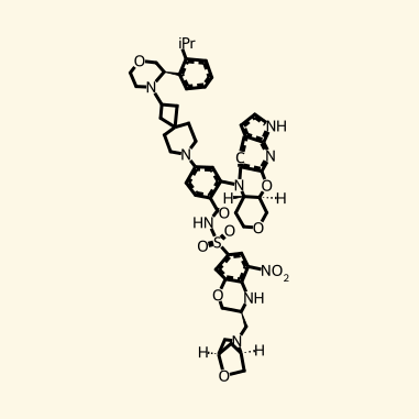 CC(C)c1ccccc1[C@@H]1COCCN1C1CC2(CCN(c3ccc(C(=O)NS(=O)(=O)c4cc5c(c([N+](=O)[O-])c4)N[C@@H](CN4C[C@H]6C[C@@H]4CO6)CO5)c(N4c5cc6cc[nH]c6nc5O[C@H]5COCC[C@@H]54)c3)CC2)C1